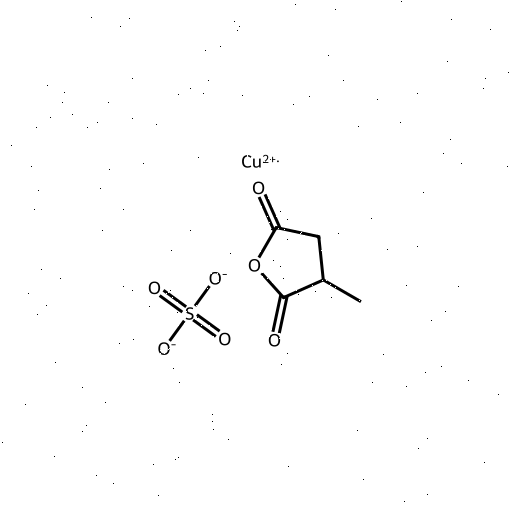 CC1CC(=O)OC1=O.O=S(=O)([O-])[O-].[Cu+2]